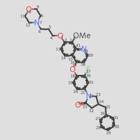 COc1c(OCCCN2CCOCC2)ccc2c(Oc3ccc(N4CC(Cc5ccccc5)CC4=O)cc3F)ccnc12